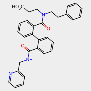 O=C(O)CCN(CCc1ccccc1)C(=O)c1ccccc1-c1ccccc1C(=O)NCc1ccccn1